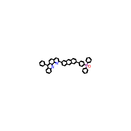 O=P(c1ccccc1)(c1ccccc1)c1ccc(-c2ccc3cc4cc(-c5ccc6ccc7c(-c8ccccc8)c8ccccc8nc7c6n5)ccc4cc3c2)cc1